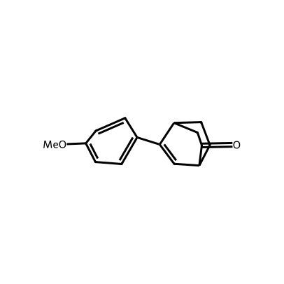 COc1ccc(C2=CC3CCC2CC3=O)cc1